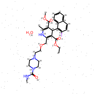 CCOC(=O)C1=C(COCCN2CCN(C(=O)NC)CC2)NC(C)=C(C(=O)OC)C1c1c(I)ccc2ccccc12.O